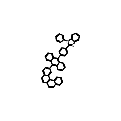 c1ccc(-n2c(-c3ccc(-c4c5ccccc5c(-c5ccc6ccc7ccc8ccccc8c7c6c5)c5ccccc45)cc3)nc3ccccc32)cc1